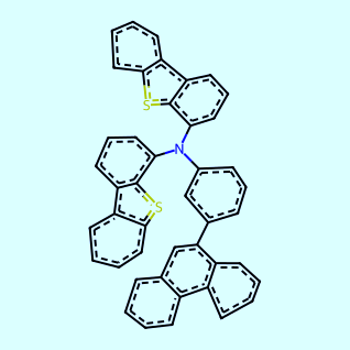 c1cc(-c2cc3ccccc3c3ccccc23)cc(N(c2cccc3c2sc2ccccc23)c2cccc3c2sc2ccccc23)c1